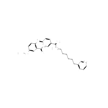 CC(C)Oc1ccc2nc3ccc(C(=O)NCCCCCCc4cccnc4)cn3c(=O)c2c1